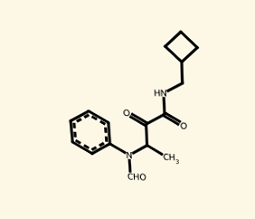 CC(C(=O)C(=O)NCC1CCC1)N(C=O)c1ccccc1